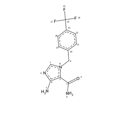 NC(=O)c1c(N)ncn1Cc1ccc(C(F)(F)F)cc1